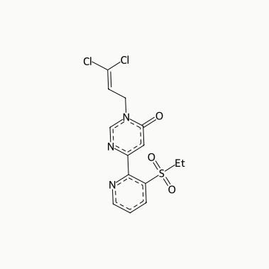 CCS(=O)(=O)c1cccnc1-c1cc(=O)n(CC=C(Cl)Cl)cn1